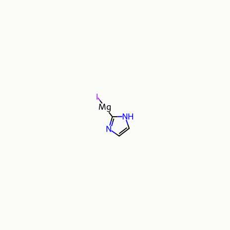 [I][Mg][c]1ncc[nH]1